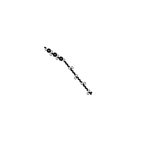 C=C(C)C(=O)OCCCCCC(=O)OCCCCCC(=O)OCCCCCC(=O)OCCCCCCOc1ccc(C(=O)Oc2ccc(C(=O)Oc3ccc(OCC)cc3)cc2)cc1